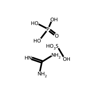 N=C(N)N.O=P(O)(O)O.O=S(=O)(O)O